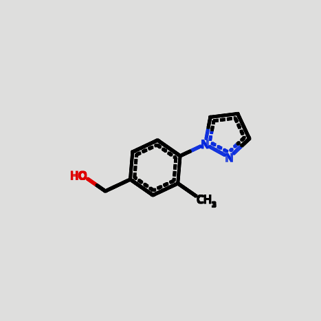 Cc1cc(CO)ccc1-n1cccn1